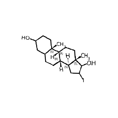 C[C@]12CCC(O)CC1CC[C@@H]1[C@H]2CC[C@]2(C)C(O)C(I)C[C@@H]12